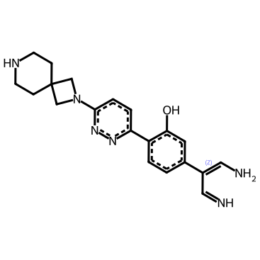 N=C/C(=C\N)c1ccc(-c2ccc(N3CC4(CCNCC4)C3)nn2)c(O)c1